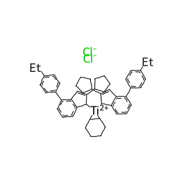 CCc1ccc(-c2cccc3c2C=C(C2CCCC2)[CH]3[Ti+2]2([CH]3C(C4CCCC4)=Cc4c(-c5ccc(CC)cc5)cccc43)[CH]3CCCC[CH]32)cc1.[Cl-].[Cl-]